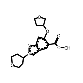 COC(=O)c1cc2cn(C3CCOCC3)nc2cc1OC1CCOC1